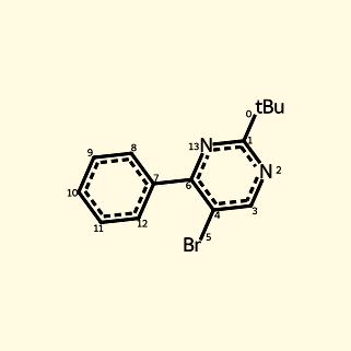 CC(C)(C)c1ncc(Br)c(-c2ccccc2)n1